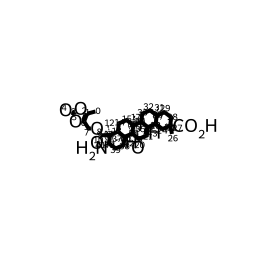 Cc1oc(=O)oc1COC(=O)[C@@]1(C)C2CC[C@]3(C)[C@H](C(=O)C=C4[C@@H]5C[C@@](C)(C(=O)O)CC[C@]5(C)CC[C@]43C)[C@@]2(C)CC[C@@H]1N